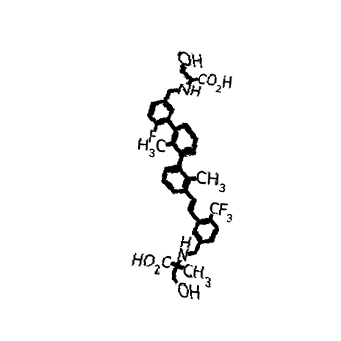 Cc1c(/C=C/c2cc(CNC(C)(CO)C(=O)O)ccc2C(F)(F)F)cccc1-c1cccc(-c2cc(CNC(CO)C(=O)O)ccc2F)c1C